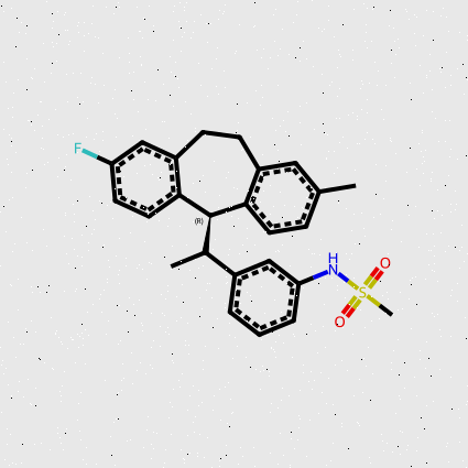 Cc1ccc2c(c1)CCc1cc(F)ccc1[C@@H]2C(C)c1cccc(NS(C)(=O)=O)c1